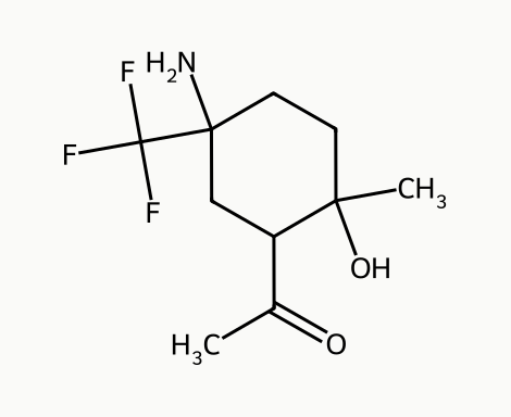 CC(=O)C1CC(N)(C(F)(F)F)CCC1(C)O